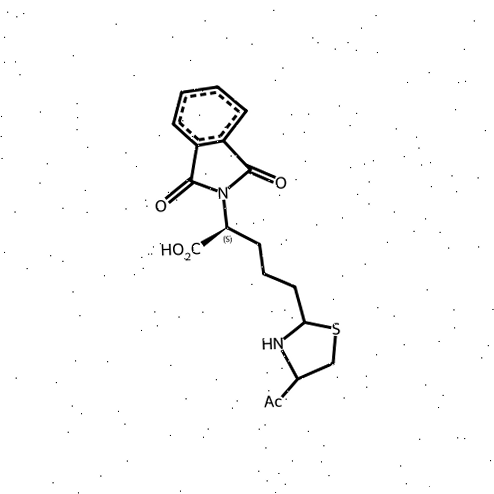 CC(=O)C1CSC(CCC[C@@H](C(=O)O)N2C(=O)c3ccccc3C2=O)N1